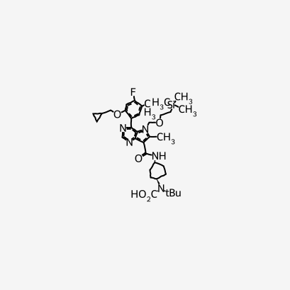 Cc1cc(-c2ncnc3c(C(=O)N[C@H]4CC[C@H](N(C(=O)O)C(C)(C)C)CC4)c(C)n(COCC[Si](C)(C)C)c23)c(OCC2CC2)cc1F